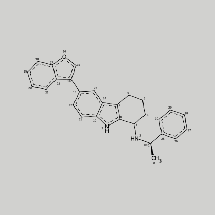 C[C@@H](NC1CCCc2c1[nH]c1ccc(-c3coc4ccccc34)cc21)c1ccccc1